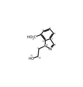 O=C(O)c1cccc2cnn(CCO)c12